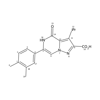 Cc1ccc(-c2cn3nc(C(=O)O)c(C(C)C)c3c(=O)[nH]2)cc1C